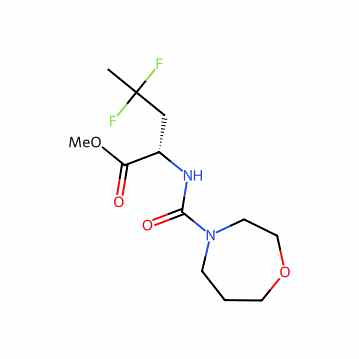 COC(=O)[C@H](CC(C)(F)F)NC(=O)N1CCCOCC1